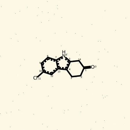 O=C1CCc2c([nH]c3ccc(Cl)cc23)C1